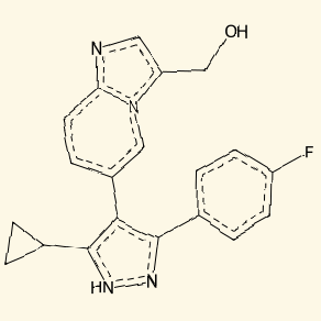 OCc1cnc2ccc(-c3c(-c4ccc(F)cc4)n[nH]c3C3CC3)cn12